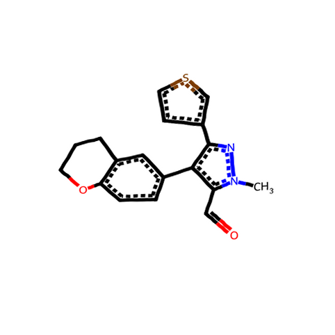 Cn1nc(-c2ccsc2)c(-c2ccc3c(c2)CCCO3)c1C=O